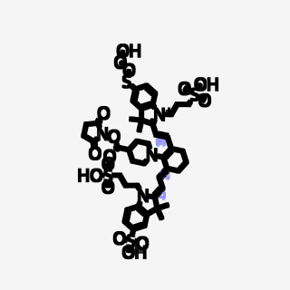 CC1(C)C(/C=C/C2=C(N3CCC(C(=O)ON4C(=O)CCC4=O)CC3)C(=C/C=C3\N(CCCS(=O)(=O)O)c4ccc(S(=O)(=O)O)cc4C3(C)C)/CCC2)=[N+](CCCS(=O)(=O)O)c2ccc(SOOO)cc21